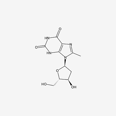 Cc1nc2c(=O)[nH]c(=O)[nH]c2n1[C@H]1C[C@@H](O)[C@H](CO)O1